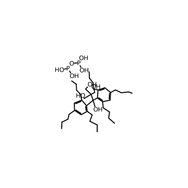 CCCCc1cc(CCCC)c(C(O)(c2c(CCCC)cc(CCCC)cc2CCCC)C(CO)(CO)CO)c(CCCC)c1.OP(O)OP(O)O